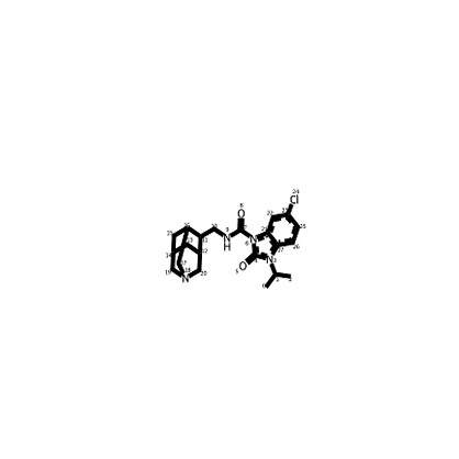 CC(C)n1c(=O)n(C(=O)NCC2C3CC4CC2CN(C4)C3)c2cc(Cl)ccc21